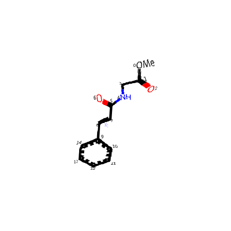 COC(=O)CNC(=O)/C=C/c1ccccc1